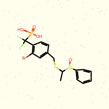 CC(SCc1ccc(C(F)(F)P(=O)(O)O)c(Br)c1)[S+]([O-])c1ccccc1